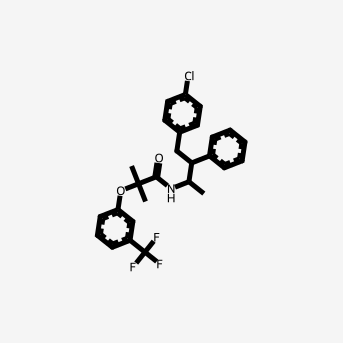 CC(NC(=O)C(C)(C)Oc1cccc(C(F)(F)F)c1)C(Cc1ccc(Cl)cc1)c1ccccc1